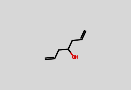 C=CC[C](O)CC=C